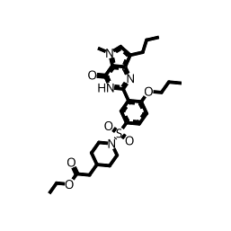 CCCOc1ccc(S(=O)(=O)N2CCC(CC(=O)OCC)CC2)cc1-c1nc2c(CCC)cn(C)c2c(=O)[nH]1